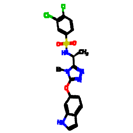 CCn1c(Oc2ccc3cc[nH]c3c2)nnc1[C@@H](C)NS(=O)(=O)c1ccc(Cl)c(Cl)c1